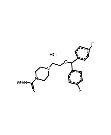 CNC(=S)N1CCN(CCOC(c2ccc(F)cc2)c2ccc(F)cc2)CC1.Cl